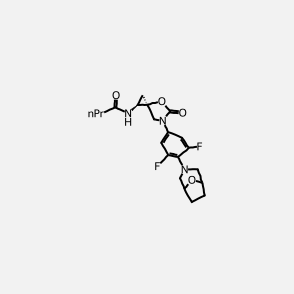 CCCC(=O)N[C@H]1C[C@]12CN(c1cc(F)c(N3CC4CCC(C3)O4)c(F)c1)C(=O)O2